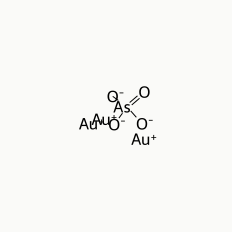 O=[As]([O-])([O-])[O-].[Au+].[Au+].[Au+]